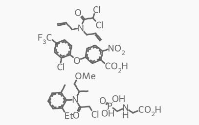 C=CCN(CC=C)C(=O)C(Cl)Cl.CCc1cccc(C)c1N(C(=O)CCl)C(C)COC.O=C(O)CNCP(=O)(O)O.O=C(O)c1cc(Oc2ccc(C(F)(F)F)cc2Cl)ccc1[N+](=O)[O-]